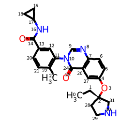 CC[C@]1(Oc2ccc3ncn(-c4cc(C(=O)NC5CC5)ccc4C)c(=O)c3c2)CCNC1